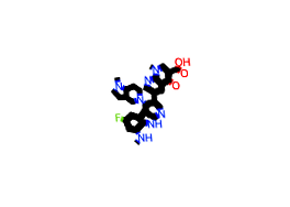 CNc1cc(F)cc2c1[nH]c1ncc(-c3cnc4c(c3)c(=O)c(C(=O)O)cn4C)c(N3CCC4C(CCN4C)C3)c12